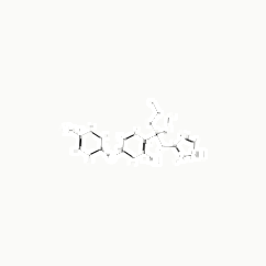 CCCC(Cc1nc[nH]n1)(OC)c1ccc(Oc2ccc(Cl)cc2)cc1Cl